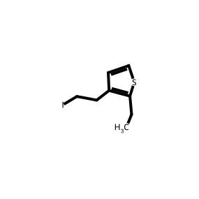 CCc1sccc1CCI